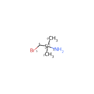 C[Si](C)(N)CBr